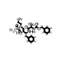 CC(C)CCN(C[C@@H](O)[C@H](Cc1ccccc1)NC(=O)C(NC(=O)OCc1ccccc1)C(C)(C)C)S(C)(=O)=O